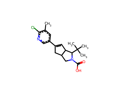 Cc1cc(C2=CC3C(C2)CN(C(=O)O)C3C(C)(C)C)cnc1Cl